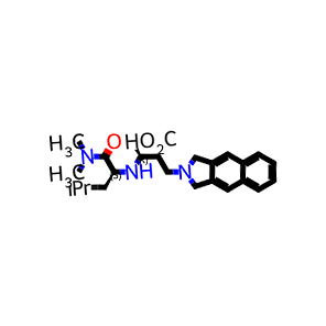 CC(C)C[C@H](N[C@H](CCN1Cc2cc3ccccc3cc2C1)C(=O)O)C(=O)N(C)C